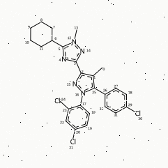 Cc1c(-c2nc(C3CCCCC3)n(C)n2)nn(-c2ccc(Cl)cc2Cl)c1-c1ccc(Cl)cc1